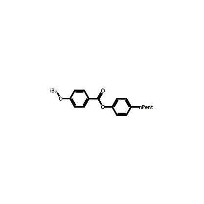 CCCCCc1ccc(OC(=O)c2ccc(OC(C)CC)cc2)cc1